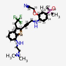 CN(C)CCNc1cccc2c(CC(F)(F)F)c(C#CCNc3ccc(P(C)(C)=O)cc3OCC#N)sc12